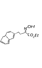 CCOC(=O)C(CCc1ccc2ccccc2c1)=NO